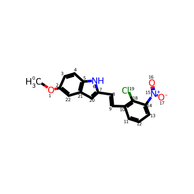 COc1ccc2[nH]c(C=Cc3cccc([N+](=O)[O-])c3Cl)cc2c1